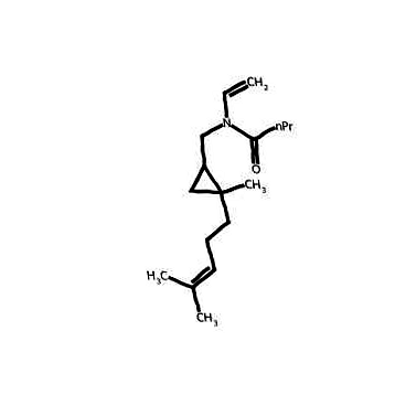 C=CN(CC1CC1(C)CCC=C(C)C)C(=O)CCC